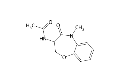 CC(=O)NC1COc2ccccc2N(C)C1=O